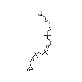 CC(OCC(C)(C)CCC(C)(C)COCC1CO1)OCC(C)(C)CCC(C)(C)COCC1CO1